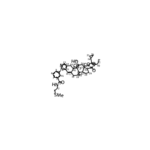 CSCCNC(=O)c1cccc(-n2ncc3c2C=C2CC[C@@H]4C([C@@H](O)C[C@@]5(C)C4CC[C@]5(OC(=O)C4CC4)C(=O)SCF)[C@@]2(C)C3)c1